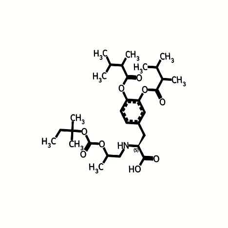 CCC(C)(C)OC(=O)OC(C)CN[C@@H](Cc1ccc(OC(=O)C(C)C(C)C)c(OC(=O)C(C)C(C)C)c1)C(=O)O